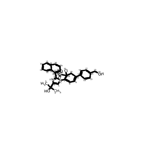 CC(C)(O)c1cn(C2=CC=C(c3ccc(CO)cc3)CC2(Cl)S(C)(=O)=O)c(-c2cccc3ccccc23)n1